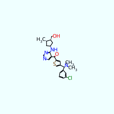 C[C@H]1C[C@H](Nc2ncncc2C(=O)c2cc(C(c3cccc(Cl)c3)N(C)C)cs2)C[C@@H]1CO